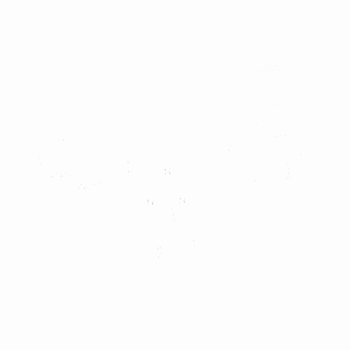 c1ccc(-c2nc(-c3cccc(-c4cccc5sc6cc7ccccc7cc6c45)c3)nc(-c3ccc4c(c3)oc3ccccc34)n2)cc1